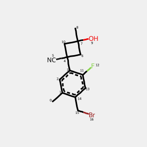 Cc1cc(C2(C#N)CC(C)(O)C2)c(F)cc1CBr